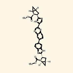 CC(C)(C)OC(=O)N1[C@@H]2C[C@@H]2C[C@H]1c1ncc(-c2cnc3cc(-c4ccc5nc([C@@H]6C[C@H]7C[C@H]7N6C(=O)OC(C)(C)C)[nH]c5c4)ccc3n2)[nH]1